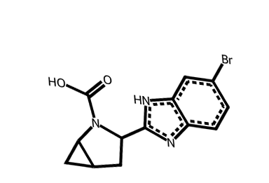 O=C(O)N1C(c2nc3ccc(Br)cc3[nH]2)CC2CC21